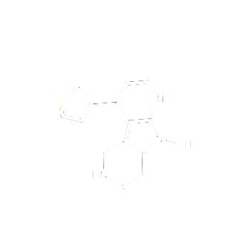 Cn1c2c(c3c(-c4ccsc4)cc(Cl)nc31)CNCC2